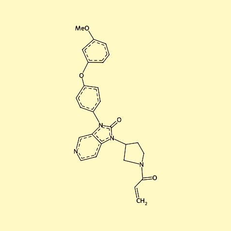 C=CC(=O)N1CCC(n2c(=O)n(-c3ccc(Oc4cccc(OC)c4)cc3)c3cnccc32)C1